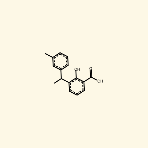 Cc1cccc(C(C)c2cccc(C(=O)O)c2O)c1